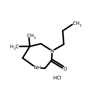 CCCN1CC(C)(C)CNCC1=O.Cl